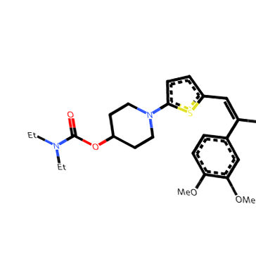 CCN(CC)C(=O)OC1CCN(c2ccc(C=C(C#N)c3ccc(OC)c(OC)c3)s2)CC1